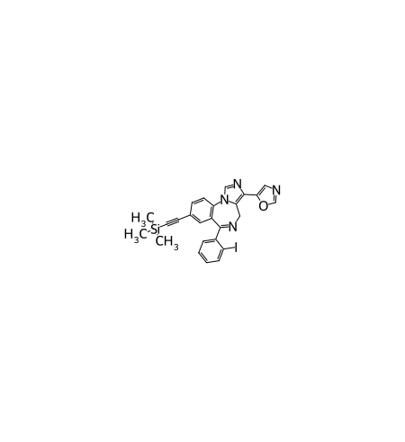 C[Si](C)(C)C#Cc1ccc2c(c1)C(c1ccccc1I)=NCc1c(-c3cnco3)ncn1-2